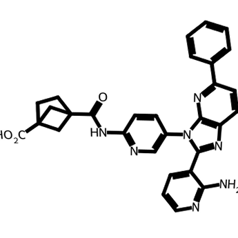 Nc1ncccc1-c1nc2ccc(-c3ccccc3)nc2n1-c1ccc(NC(=O)C23CCC(C(=O)O)(C2)C3)nc1